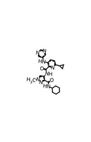 Cn1cc(NC(=O)c2nc(C3CC3)ccc2Nc2cncnc2)c(C(=O)NC2CCCCC2)n1